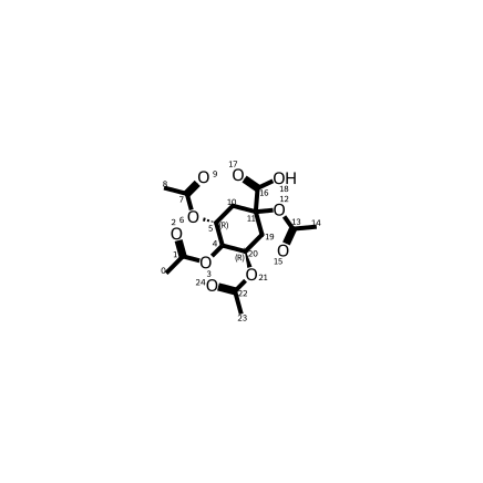 CC(=O)OC1[C@H](OC(C)=O)CC(OC(C)=O)(C(=O)O)C[C@H]1OC(C)=O